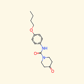 CCCCOc1ccc(NC(=O)N2CCC(=O)CC2)cc1